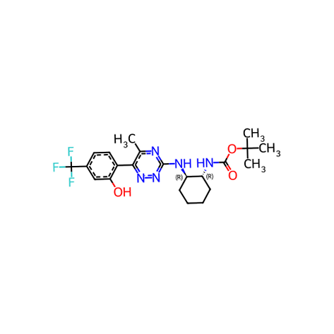 Cc1nc(N[C@@H]2CCCC[C@H]2NC(=O)OC(C)(C)C)nnc1-c1ccc(C(F)(F)F)cc1O